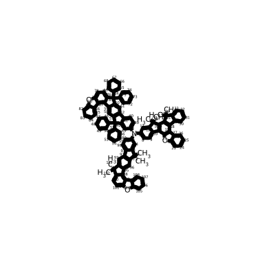 CC1(C)c2cc(N(c3ccc4c(c3)C(C)(C)c3c5c(c6c(oc7ccccc76)c3-4)-c3ccccc3C5(C)C)c3ccc4c(c3)C(c3ccccc3)(c3ccccc3)c3cc5c(cc3-4)C(c3ccccc3)(c3ccccc3)c3ccc4oc6ccccc6c4c3-5)ccc2-c2cc3c(cc21)-c1c(ccc2oc4ccccc4c12)C3(C)C